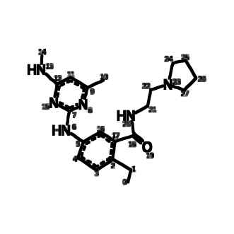 CCc1ccc(Nc2nc(C)cc(NC)n2)cc1C(=O)NCCN1CCCC1